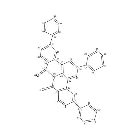 O=c1c2ccc(-c3ccccc3)cc2c2cc(-c3ccccc3)cc3c4cc(-c5ccccc5)ccc4c(=O)n1c23